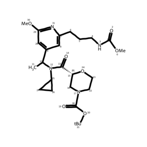 COC(=O)NCCCc1cc(C(C)N(C(=O)[C@H]2CN(C(=O)OC(C)(C)C)CCO2)C2CC2)cc(OC)n1